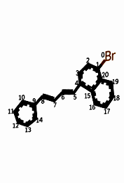 Brc1ccc(/C=C/C=C/c2ccccc2)c2ccccc12